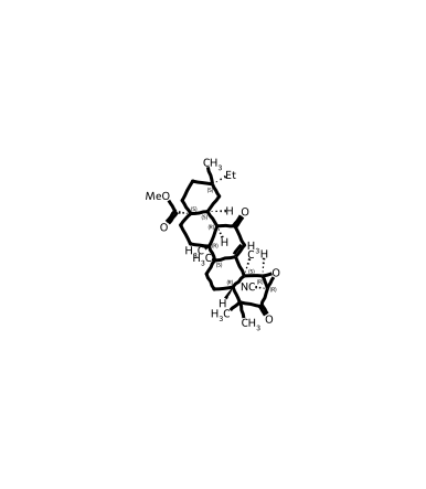 CC[C@@]1(C)CC[C@]2(C(=O)OC)CC[C@]3(C)[C@H](C(=O)C=C4[C@@]5(C)[C@H]6O[C@@]6(C#N)C(=O)C(C)(C)[C@@H]5CC[C@]43C)[C@@H]2C1